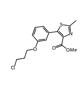 COC(=O)c1nc(C)sc1-c1cccc(OCCCCl)c1